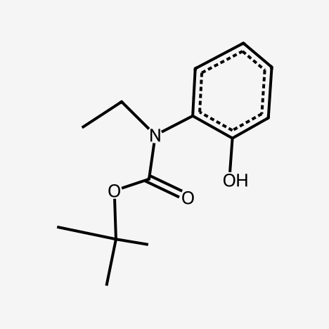 CCN(C(=O)OC(C)(C)C)c1ccccc1O